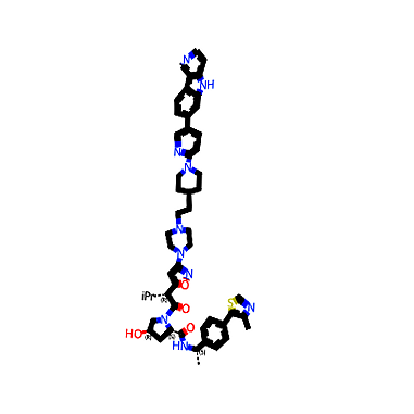 Cc1ncsc1-c1ccc([C@H](C)NC(=O)[C@@H]2C[C@@H](O)CN2C(=O)[C@@H](c2cc(N3CCN(CCC4CCN(c5ccc(-c6ccc7c(c6)[nH]c6ccncc67)cn5)CC4)CC3)no2)C(C)C)cc1